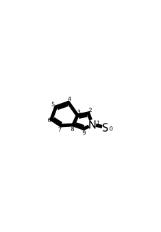 [S]n1cc2ccccc2c1